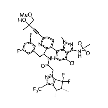 COCC(C)(O)C#Cc1ccc(-c2ccc(Cl)c3c(NS(C)(=O)=O)nn(C)c23)c([C@H](Cc2cc(F)cc(F)c2)NC(=O)Cn2nc(C(F)(F)F)c3c2C(F)(F)[C@H](C)[C@@H]3C)n1